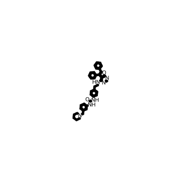 O=C(Nc1ccc(CCNc2ncnc3oc(-c4ccccc4)c(-c4ccccc4)c23)cc1)Nc1cccc(CN2CCCCC2)c1